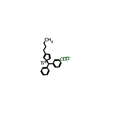 CCCCC1=C[C]([Ti+3])(C(c2ccccc2)c2ccccc2)C=C1.[Cl-].[Cl-].[Cl-]